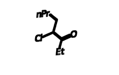 CCCCC(Cl)C(=O)CC